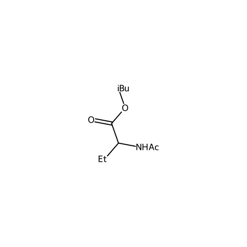 CCC(C)OC(=O)C(CC)NC(C)=O